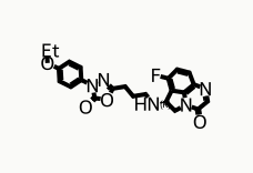 CCOc1ccc(-n2nc(CCCN[C@H]3Cn4c(=O)cnc5ccc(F)c3c54)oc2=O)cc1